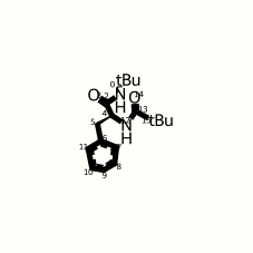 CC(C)(C)NC(=O)[C@H](Cc1ccccc1)NC(=O)C(C)(C)C